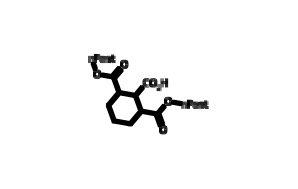 CCCCCOC(=O)C1CCCC(C(=O)OCCCCC)C1C(=O)O